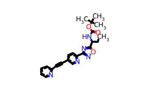 CCC(NC(=O)OC(C)(C)C)c1nc(-c2ccc(C#Cc3ccccn3)cn2)no1